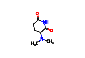 CN(C)C1CCC(=O)NC1=O